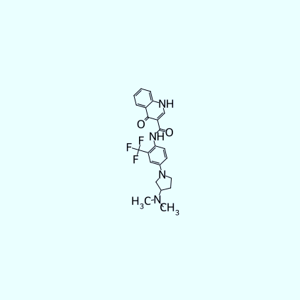 CN(C)C1CCN(c2ccc(NC(=O)c3c[nH]c4ccccc4c3=O)c(C(F)(F)F)c2)C1